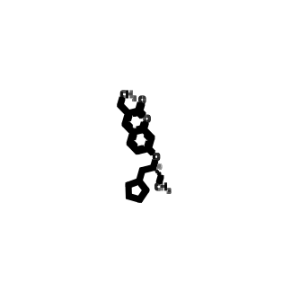 CCc1cc2ccc(O[C@H](CC)CC3CCCC3)cc2oc1=O